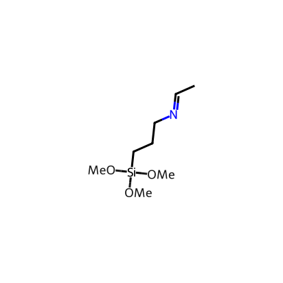 CC=NCCC[Si](OC)(OC)OC